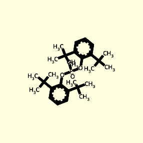 CC(C)(C)c1cccc(C(C)(C)C)c1OP(=O)(O)Oc1c(C(C)(C)C)cccc1C(C)(C)C